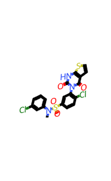 CN(c1cccc(Cl)c1)S(=O)(=O)c1ccc(Cl)c(-n2c(=O)[nH]c3sccc3c2=O)c1